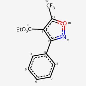 CCOC(=O)c1c(-c2ccccc2)noc1C(F)(F)F